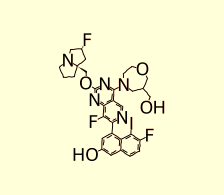 OCC1COCCN(c2nc(OC[C@@]34CCCN3C[C@H](F)C4)nc3c(F)c(-c4cc(O)cc5ccc(F)c(I)c45)ncc23)C1